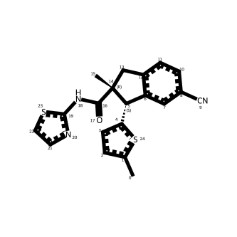 Cc1ccc([C@H]2c3cc(C#N)ccc3C[C@@]2(C)C(=O)Nc2nccs2)s1